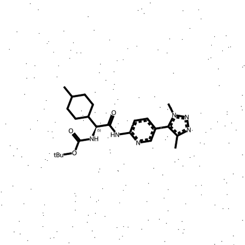 Cc1nnn(C)c1-c1ccc(NC(=O)[C@@H](NC(=O)OC(C)(C)C)C2CCC(C)CC2)nc1